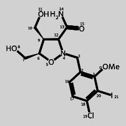 COc1c(CN2O[C@@H](CO)[C@@H](CO)C2C(N)=O)ccc(Cl)c1I